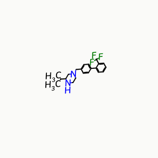 CC(C)C1CN(Cc2ccc(-c3ccccc3C(F)(F)F)cc2)CCN1